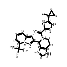 CC1(c2nnc(C(=O)N3CCc4[nH]cnc4C3c3cc4cccc(C(F)(F)F)n4n3)o2)CC1